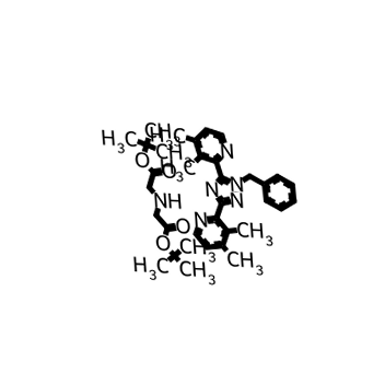 CC(C)(C)OC(=O)CNCC(=O)OC(C)(C)C.Cc1ccnc(-c2nc(-c3nccc(C)c3C)n(Cc3ccccc3)n2)c1C